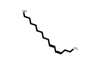 CCC/C=C\C=C\CCCCCCCCO